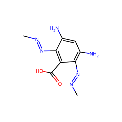 CN=Nc1c(N)cc(N)c(N=NC)c1C(=O)O